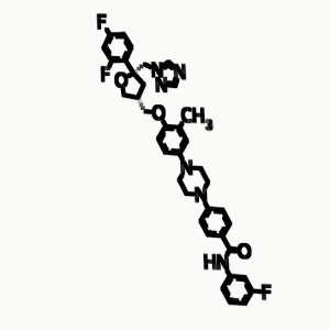 Cc1cc(N2CCN(c3ccc(C(=O)Nc4cccc(F)c4)cc3)CC2)ccc1OC[C@@H]1CO[C@@](Cn2cncn2)(c2ccc(F)cc2F)C1